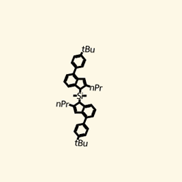 CCCC1=Cc2c(-c3ccc(C(C)(C)C)cc3)cccc2C1[Si](C)(C)C1C(CCC)=Cc2c(-c3ccc(C(C)(C)C)cc3)cccc21